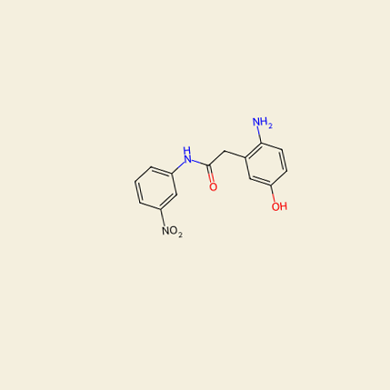 Nc1ccc(O)cc1CC(=O)Nc1cccc([N+](=O)[O-])c1